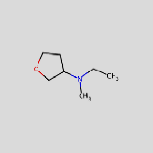 CCN(C)C1CCOC1